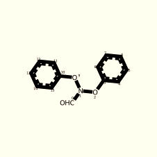 O=CN(Oc1ccccc1)Oc1ccccc1